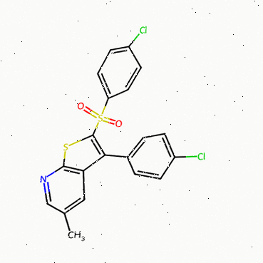 Cc1cnc2sc(S(=O)(=O)c3ccc(Cl)cc3)c(-c3ccc(Cl)cc3)c2c1